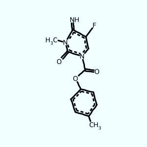 Cc1ccc(OC(=O)n2cc(F)c(=N)n(C)c2=O)cc1